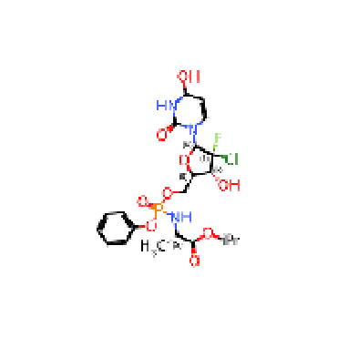 CC(C)OC(=O)[C@H](C)NP(=O)(OC[C@H]1O[C@@H](N2C=CC(O)NC2=O)[C@](F)(Cl)[C@@H]1O)Oc1ccccc1